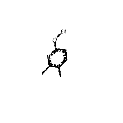 CCOc1ccc(C)c(C)n1